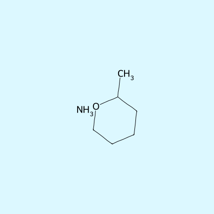 CC1CCCCO1.N